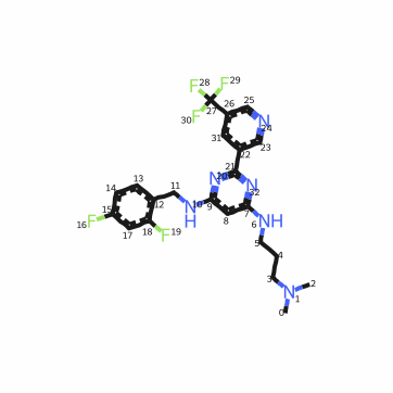 CN(C)CCCNc1cc(NCc2ccc(F)cc2F)nc(-c2cncc(C(F)(F)F)c2)n1